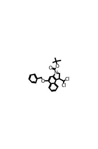 CC(C)(C)OC(=O)N1CC(C(Cl)Cl)c2c1cc(OCc1ccccc1)c1ccccc21